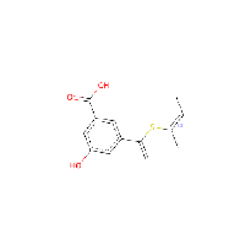 C=C(S/C(C)=C\C)c1cc(O)cc(C(=O)O)c1